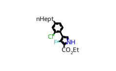 CCCCCCCc1ccc(-c2c[nH]c(C(=O)OCC)c2F)c(Cl)c1